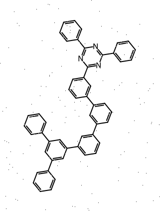 c1ccc(-c2cc(-c3ccccc3)cc(-c3cccc(-c4cccc(-c5cccc(-c6nc(-c7ccccc7)nc(-c7ccccc7)n6)c5)c4)c3)c2)cc1